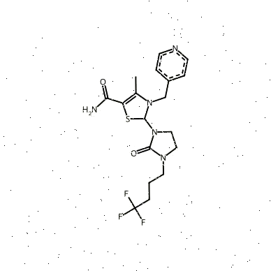 CC1=C(C(N)=O)SC(N2CCN(CCCC(F)(F)F)C2=O)N1Cc1ccncc1